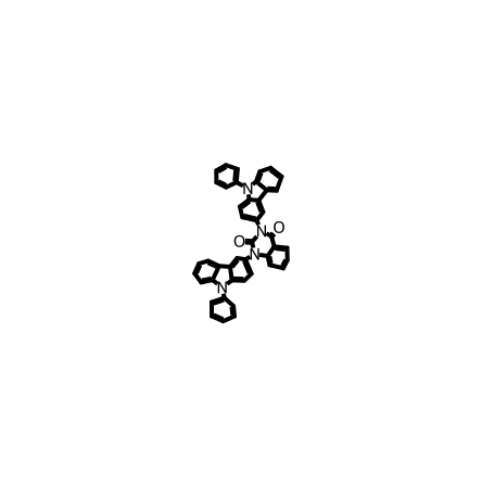 O=c1c2ccccc2n(-c2ccc3c(c2)c2ccccc2n3-c2ccccc2)c(=O)n1-c1ccc2c(c1)c1ccccc1n2-c1ccccc1